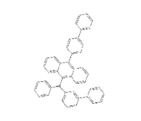 c1ccc(-c2ccc(-c3c4ccccc4c(N(c4ccccc4)c4cccc(-c5ccccc5)n4)c4ccccc34)cc2)cc1